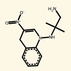 CC(C)(CN)NN1C=C([N+](=O)[O-])Cc2ccccc21